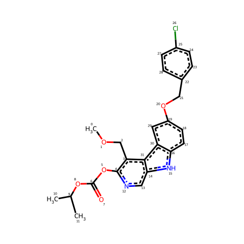 COCc1c(OC(=O)OC(C)C)ncc2[nH]c3ccc(OCc4ccc(Cl)cc4)cc3c12